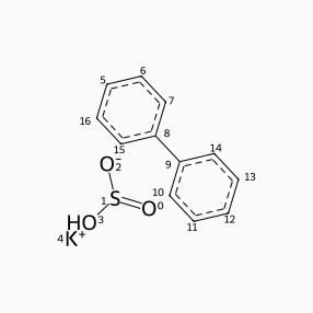 O=S([O-])O.[K+].c1ccc(-c2ccccc2)cc1